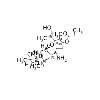 CCC(=O)O[C@H](CC[C@H](N)[C@H](C[C@@H](CC)O[Si](C)(C)C(C)(C)C)OC)[C@H](C)[C@H](OC)[C@H](C)CO